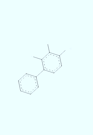 O=Cc1ccc(-c2ccccc2)c(F)c1F